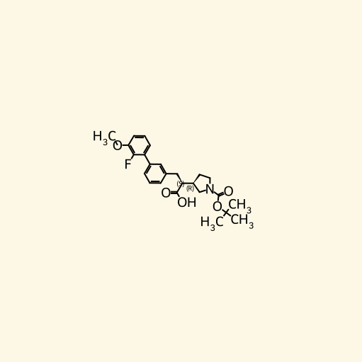 COc1cccc(-c2cccc(C[C@H](C(=O)O)[C@H]3CCN(C(=O)OC(C)(C)C)C3)c2)c1F